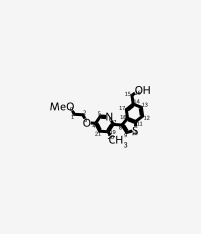 COCCOc1cnc(-c2csc3ccc(CO)cc23)c(C)c1